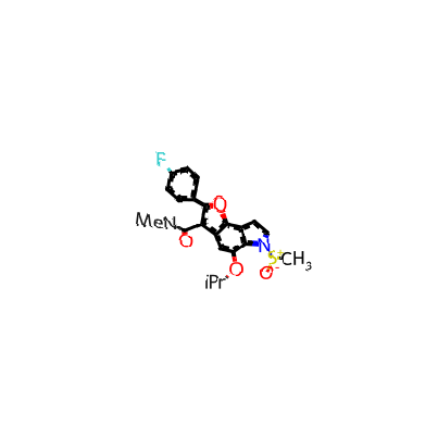 CNC(=O)c1c(-c2ccc(F)cc2)oc2c1cc(OC(C)C)c1c2ccn1[S+](C)[O-]